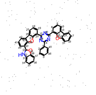 c1ccc(-c2nc(-c3cccc4c3oc3ccccc34)nc(-c3cccc4c3oc3c(C5Nc6ccccc6O5)cccc34)n2)cc1